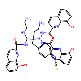 NCCNC(NC(=O)c1ccc2cccc(O)c2n1)C(CCN)(Cc1ccc(N=C=S)cc1)N(NC(=O)c1ccc2cccc(O)c2n1)NC(=O)c1ccc2cccc(O)c2n1